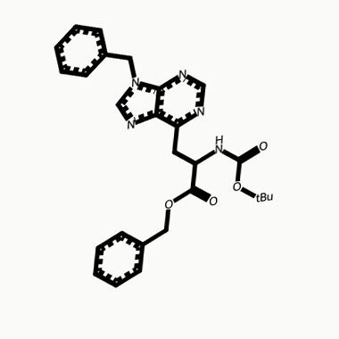 CC(C)(C)OC(=O)NC(Cc1ncnc2c1ncn2Cc1ccccc1)C(=O)OCc1ccccc1